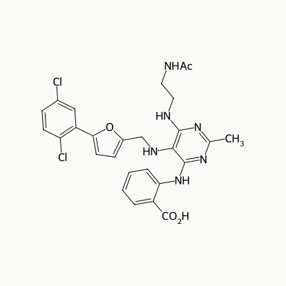 CC(=O)NCCNc1nc(C)nc(Nc2ccccc2C(=O)O)c1NCc1ccc(-c2cc(Cl)ccc2Cl)o1